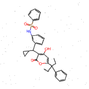 CCC(CC)(c1ccccc1)c1cc(O)c(C(c2cccc(NS(=O)(=O)c3ccccc3)c2)C2CC2)c(=O)o1